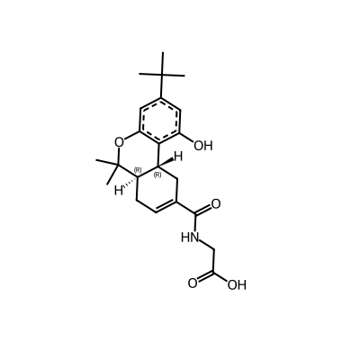 CC(C)(C)c1cc(O)c2c(c1)OC(C)(C)[C@@H]1CC=C(C(=O)NCC(=O)O)C[C@@H]21